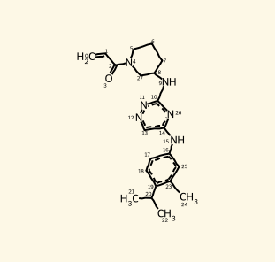 C=CC(=O)N1CCCC(Nc2nncc(Nc3ccc(C(C)C)c(C)c3)n2)C1